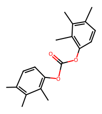 Cc1ccc(OC(=O)Oc2ccc(C)c(C)c2C)c(C)c1C